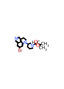 CC(C)(C)OC(=O)N1CCCC(N2CCc3cncc4cc(Br)cc2c34)C1